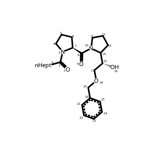 CCCCCCCC(=O)N1CCC[C@H]1C(=O)N1CCCC1[C@H](O)COCc1ccccc1